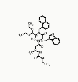 CCNC(=O)NN(C)CC(=O)N[C@@H](Cc1csc2ccccc12)C(=O)N(Cc1cccc2ccccc12)[C@@H](C)C(OCC)OCC